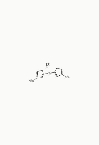 CCCCC1=CC[C]([Ti+2][C]2=CC(CCCC)=CC2)=C1.[Cl-].[Cl-]